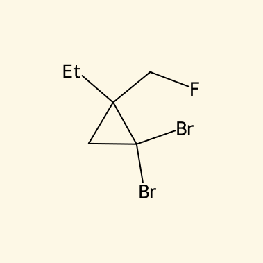 CCC1(CF)CC1(Br)Br